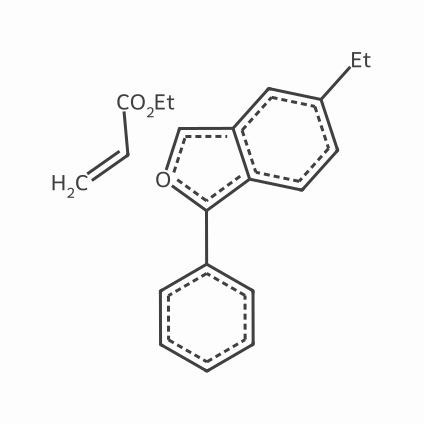 C=CC(=O)OCC.CCc1ccc2c(-c3ccccc3)occ2c1